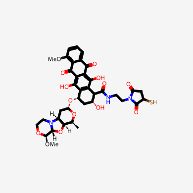 COc1cccc2c1C(=O)c1c(O)c3c(c(O)c1C2=O)C(C(=O)NCCN1C(=O)CC(S)C1=O)[C@H](O)C[C@@H]3O[C@H]1C[C@H]2[C@H](O[C@@H]3[C@@H](OC)OCCN32)[C@H](C)O1